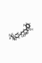 O=C(CC(Cc1c[nH]c2cccc(F)c12)[N+](=O)[O-])N1CCn2c(nnc2C(F)(F)F)C1